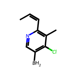 Bc1cnc(/C=C\C)c(C)c1Cl